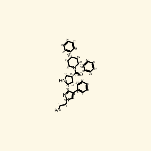 CC(C)CCn1cc(-c2ccccc2[C@@H]2CNC[C@H]2C(=O)N2CC[C@H](c3ccccc3)C[C@@H]2c2ccccc2)cn1